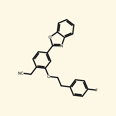 N#CCc1ccc(-c2nc3ccccc3o2)cc1OCCc1ccc(F)cc1